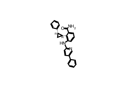 NC(=O)c1cccc(Nc2ccc(-c3ccccc3)cn2)c1[C@@H]1C[C@@H]1c1ccccc1